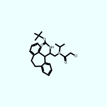 CC(C)N(CC(NC(=O)OC(C)(C)C)C1c2ccccc2CCc2ccccc21)C(=O)CCl